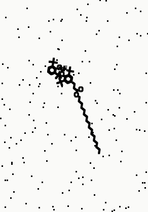 CCCCCCCCCCCCCCCCCCOC(=O)CCc1cc(C(C)(C)C)c(OP(F)Oc2c(C(C)(C)C)cccc2C(C)(C)C)c(C(C)(C)C)c1